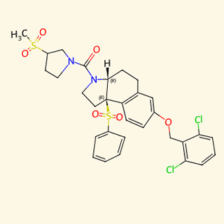 CS(=O)(=O)C1CCN(C(=O)N2CC[C@@]3(S(=O)(=O)c4ccccc4)c4ccc(OCc5c(Cl)cccc5Cl)cc4CC[C@@H]23)C1